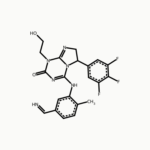 Cc1ccc(C=N)cc1NC1=NC(=O)N(CCO)C2=NCC(c3cc(F)c(F)c(F)c3)N12